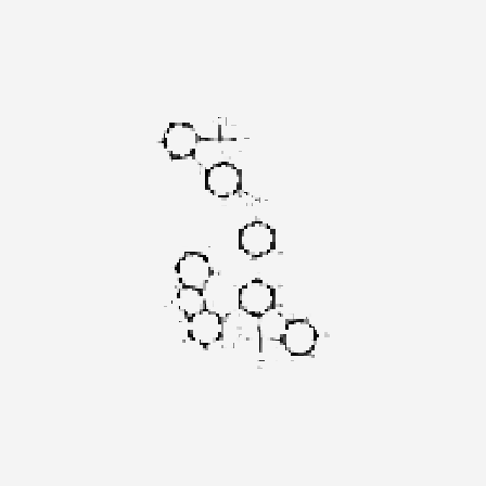 CC1(C)c2ccccc2-c2ccc(Nc3ccc(-c4cc5c(c(-c6cccc7sc8ccccc8c67)c4)C(C)(C)c4ccccc4-5)cc3)cc21